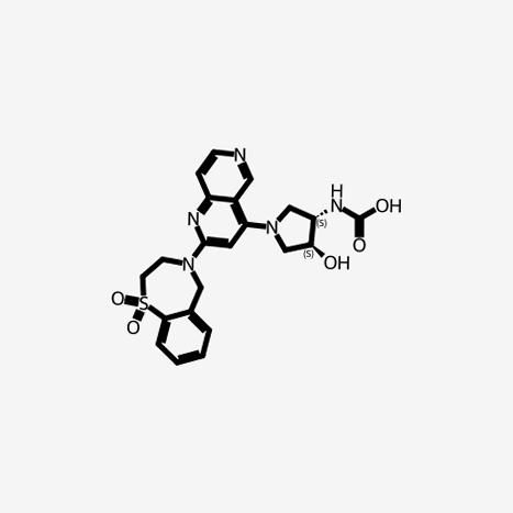 O=C(O)N[C@H]1CN(c2cc(N3CCS(=O)(=O)c4ccccc4C3)nc3ccncc23)C[C@@H]1O